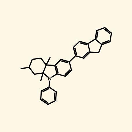 CC1CCC2(C)c3cc(-c4ccc5c(c4)Cc4ccccc4-5)ccc3N(c3ccccc3)C2(C)C1